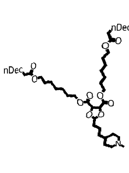 CCCCCCCCCCCC(=O)OCCCCCCCOC(=O)C1OC(CCCC2CCN(C)CC2)OC1C(=O)OCCCCCCCOC(=O)CCCCCCCCCCC